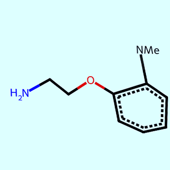 CNc1ccccc1OCCN